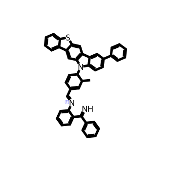 CC1C=C(/C=N/c2ccccc2C(=N)c2ccccc2)C=CC1n1c2ccc(-c3ccccc3)cc2c2cc3sc4ccccc4c3cc21